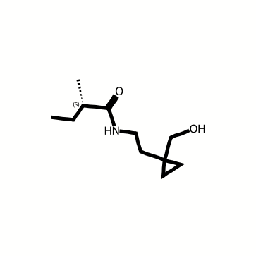 CC[C@H](C)C(=O)NCCC1(CO)CC1